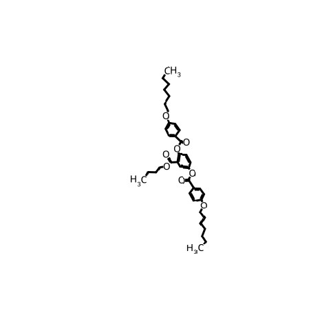 CCCCCCCOc1ccc(C(=O)Oc2ccc(OC(=O)c3ccc(OCCCCCCC)cc3)c(C(=O)OCCCC)c2)cc1